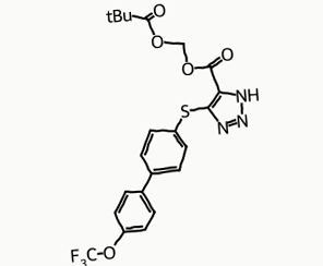 CC(C)(C)C(=O)OCOC(=O)c1[nH]nnc1Sc1ccc(-c2ccc(OC(F)(F)F)cc2)cc1